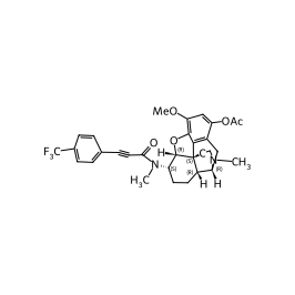 COc1cc(OC(C)=O)c2c3c1O[C@H]1[C@@H](N(C)C(=O)C#Cc4ccc(C(F)(F)F)cc4)CC[C@H]4[C@@H](C2)N(C)CC[C@@]341